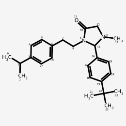 CC(C)c1ccc(CCN2C(=O)CN(C)C2c2ccc(C(C)(C)C)cc2)cc1